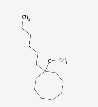 CCCCCCC1(OC)CCCCCCC1